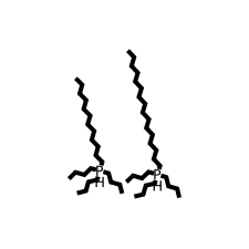 CCCCCCCCCCCCCCCC[PH](CCCC)(CCCC)CCCC.CCCCCCCCCCCC[PH](CCCC)(CCCC)CCCC